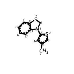 Cc1csc(N2CSc3ccccc32)c1